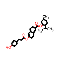 CC1CCC(C(C)C)C(OC(=O)c2ccc3cc(OC(=O)CCc4ccc(O)cc4)ccc3c2)C1